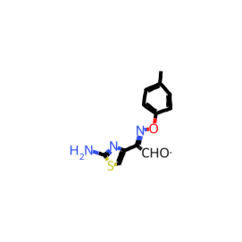 Cc1ccc(O/N=C(\[C]=O)c2csc(N)n2)cc1